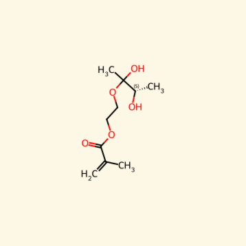 C=C(C)C(=O)OCCOC(C)(O)[C@H](C)O